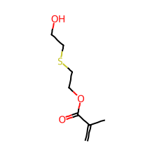 C=C(C)C(=O)OCCSCCO